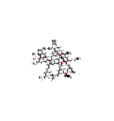 NCCCN(CCN)CCCN(CCCN(CCN)CCCN)CN(CCCN(CN(CCCN(CCN)CCCN)CCCN(CCN)CCCN)CN(CCCN(CCN)CCCN)CCCN(CCN)CCCN)CN(CCCN(CCN)CCCN)CCCN(CCN)CCCN